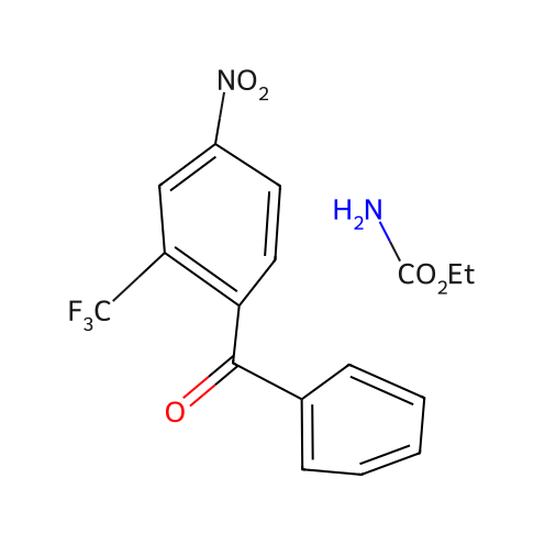 CCOC(N)=O.O=C(c1ccccc1)c1ccc([N+](=O)[O-])cc1C(F)(F)F